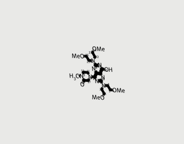 COCCN(CCOC)c1nc(N2CCN(C)C(=O)C2)c2nc(N(CCOC)CCOC)nc(O)c2n1